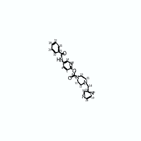 O=C(Nc1ccc(OC(=O)N2CCN(Cc3cnccn3)CC2)nc1)c1ccccc1